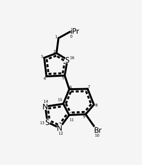 CC(C)Cc1ccc(-c2ccc(Br)c3nsnc23)s1